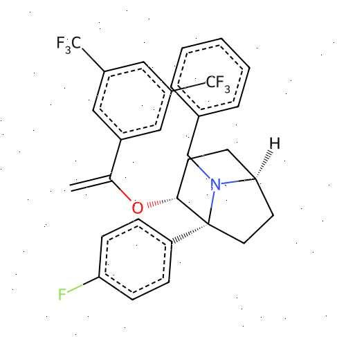 C=C(O[C@@H]1CC[C@H]2CC[C@]1(c1ccc(F)cc1)N2Cc1ccccc1)c1cc(C(F)(F)F)cc(C(F)(F)F)c1